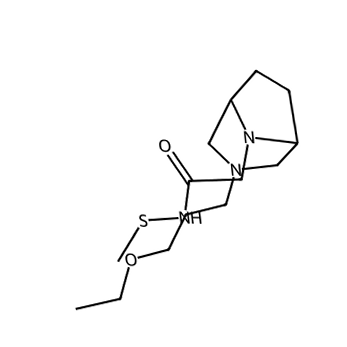 CCOCCCN1CC2CCC(C1)N2CC(=O)NSC